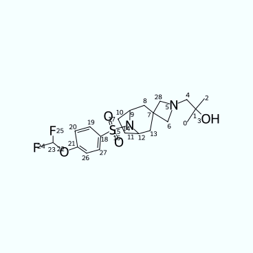 CC(C)(O)CN1CC2(CC3CCC(C2)N3S(=O)(=O)c2ccc(OC(F)F)cc2)C1